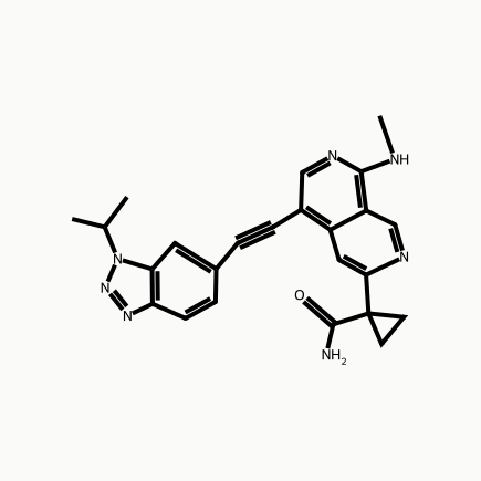 CNc1ncc(C#Cc2ccc3nnn(C(C)C)c3c2)c2cc(C3(C(N)=O)CC3)ncc12